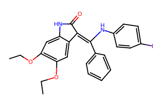 CCOc1cc2c(cc1OCC)/C(=C(/Nc1ccc(I)cc1)c1ccccc1)C(=O)N2